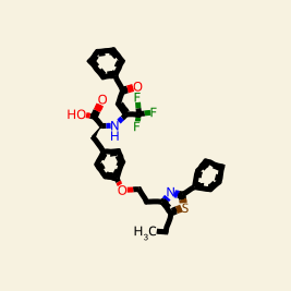 CCc1sc(-c2ccccc2)nc1CCOc1ccc(C[C@H](NC(=CC(=O)c2ccccc2)C(F)(F)F)C(=O)O)cc1